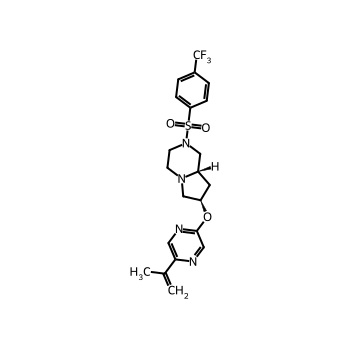 C=C(C)c1cnc(O[C@@H]2C[C@H]3CN(S(=O)(=O)c4ccc(C(F)(F)F)cc4)CCN3C2)cn1